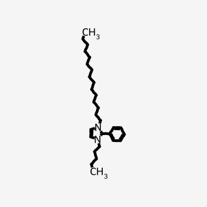 CCCCCCCCCCCCCCCN1C=CN(CCCCC)C1c1ccccc1